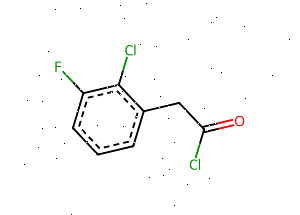 O=C(Cl)Cc1cccc(F)c1Cl